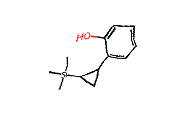 C[Si](C)(C)C1CC1c1ccccc1O